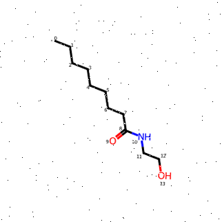 [CH2]CCCCCCCC(=O)NCCO